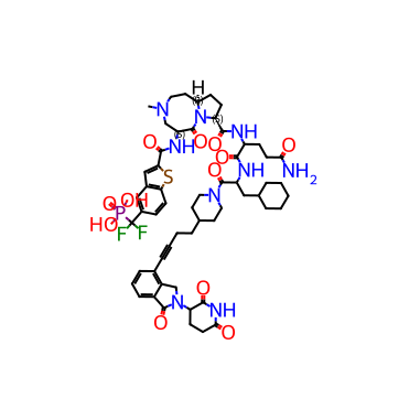 CN1CC[C@H]2CC[C@@H](C(=O)NC(CCC(N)=O)C(=O)NC(CC3CCCCC3)C(=O)N3CCC(CCC#Cc4cccc5c4CN(C4CCC(=O)NC4=O)C5=O)CC3)N2C(=O)[C@@H](NC(=O)c2cc3cc(C(F)(F)P(=O)(O)O)ccc3s2)C1